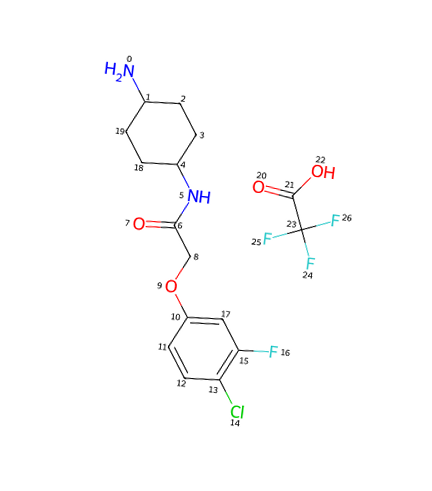 NC1CCC(NC(=O)COc2ccc(Cl)c(F)c2)CC1.O=C(O)C(F)(F)F